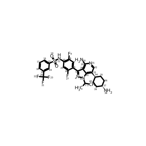 CC(C)n1nc(-c2cc(F)c(NS(=O)(=O)c3cccc(C(F)(F)F)c3)cc2F)c2c(N)ncc([C@H]3CC[C@H](N)CC3)c21